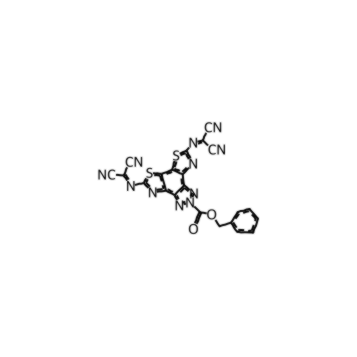 N#CC(C#N)=Nc1nc2c3nn(C(=O)OCc4ccccc4)nc3c3nc(N=C(C#N)C#N)sc3c2s1